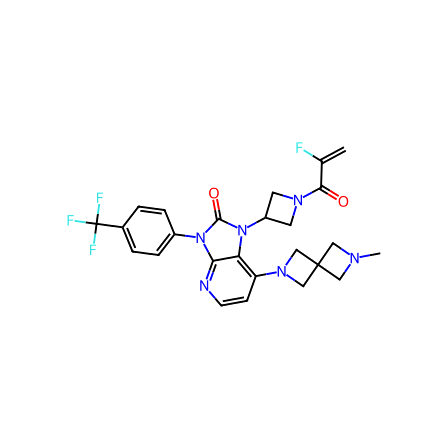 C=C(F)C(=O)N1CC(n2c(=O)n(-c3ccc(C(F)(F)F)cc3)c3nccc(N4CC5(CN(C)C5)C4)c32)C1